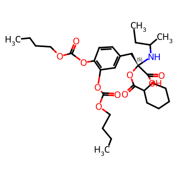 CCCCOC(=O)Oc1ccc(C[C@](NC(C)CC)(OC(=O)C2CCCCC2)C(=O)O)cc1OC(=O)OCCCC